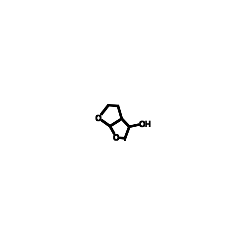 OC1[CH]OC2OCCC12